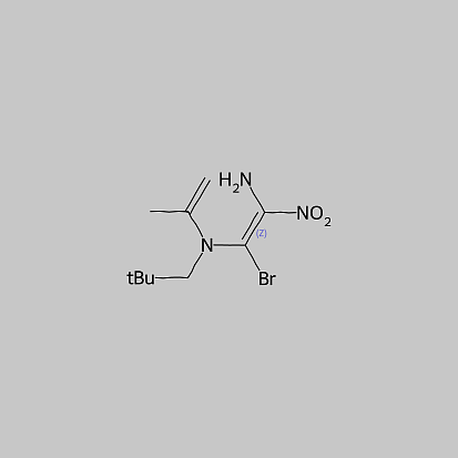 C=C(C)N(CC(C)(C)C)/C(Br)=C(\N)[N+](=O)[O-]